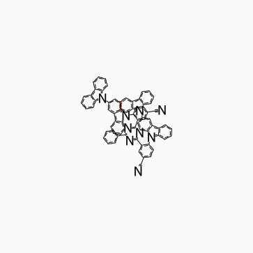 N#Cc1ccc(-n2c3ccccc3c3cc(-n4c5ccccc5c5ccccc54)ccc32)c(-c2nc(-c3ccccc3)nc(-c3cc(C#N)ccc3-n3c4ccccc4c4cc(-n5c6ccccc6c6ccccc65)ccc43)n2)c1